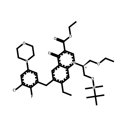 CCOC[C@@H](CO[Si](C)(C)C(C)(C)C)n1cc(C(=O)OCC)c(=O)c2cc(Cc3cc(N4CCOCC4)cc(Cl)c3F)c(CC)cc21